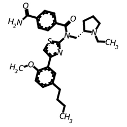 CCCCc1ccc(OC)c(-c2csc(N(C[C@@H]3CCCN3CC)C(=O)c3ccc(C(N)=O)cc3)n2)c1